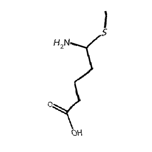 CSC(N)CCCC(=O)O